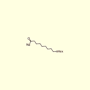 CCCCCCCCCCCCCC[C](=O)[Na]